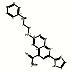 CNC(=O)c1cc(-c2ncco2)nc2ccc(NCCNc3ccccc3)cc12